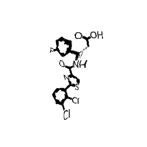 O=C(O)C[C@H](NC(=O)c1csc(-c2cccc(Cl)c2Cl)n1)c1cccc(F)c1